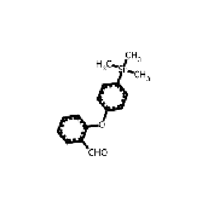 [CH3][Sn]([CH3])([CH3])[c]1ccc(Oc2ccccc2C=O)cc1